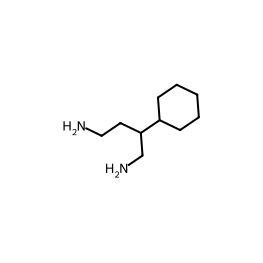 NCCC(CN)C1CCCCC1